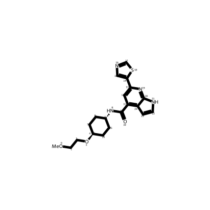 COCCO[C@H]1CC[C@H](NC(=O)c2cc(-c3cncs3)nc3[nH]ccc23)CC1